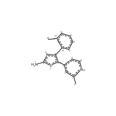 Cc1cc(-c2sc(N)nc2-c2ccccc2C)ccn1